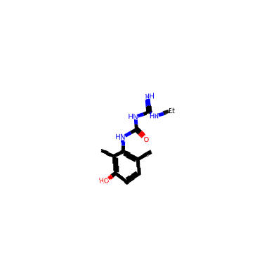 CCNC(=N)NC(=O)Nc1c(C)ccc(O)c1C